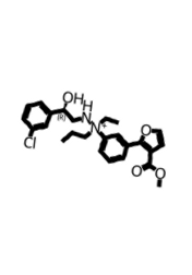 CCC[N+](CC)(NC[C@H](O)c1cccc(Cl)c1)c1cccc(-c2occc2C(=O)OC)c1